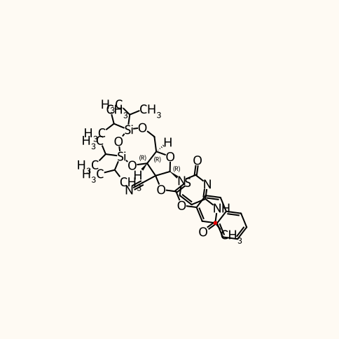 CC(=O)Nc1ccn([C@@H]2O[C@@H]3CO[Si](C(C)C)(C(C)C)O[Si](C(C)C)(C(C)C)O[C@H]3C2(C#N)OC(=S)Oc2ccc3ccccc3c2)c(=O)n1